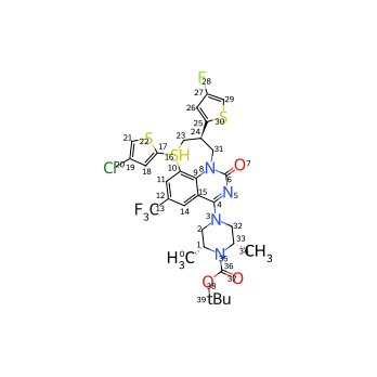 C[C@@H]1CN(c2nc(=O)n3c4c(cc(C(F)(F)F)cc24)[SH](c2cc(Cl)cs2)C[C@@H](c2cc(F)cs2)C3)C[C@H](C)N1C(=O)OC(C)(C)C